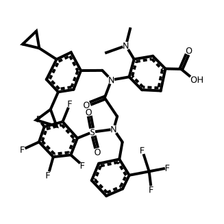 CN(C)c1cc(C(=O)O)ccc1N(Cc1cc(C2CC2)cc(C2CC2)c1)C(=O)CN(Cc1ccccc1C(F)(F)F)S(=O)(=O)c1c(F)c(F)c(F)c(F)c1F